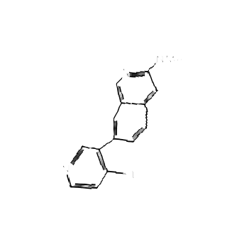 CNc1cc2ccc(-c3cnccc3C)cc2cn1